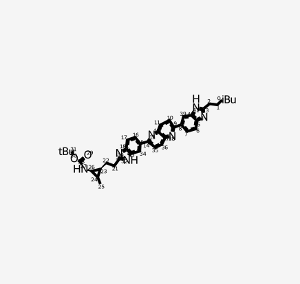 CCC(C)CCc1nc2ccc(-c3ccc4nc(-c5ccc6nc(CC[C@H]7C(C)[C@H]7NC(=O)OC(C)(C)C)[nH]c6c5)ccc4n3)cc2[nH]1